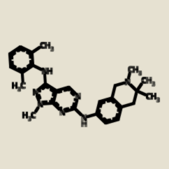 Cc1cccc(C)c1Nc1nn(C)c2nc(Nc3ccc4c(c3)CN(C)C(C)(C)C4)ncc12